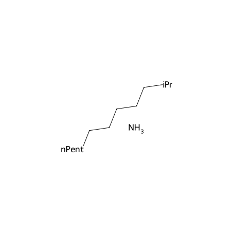 CCCCCCCCCCC(C)C.N